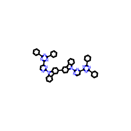 c1ccc(-c2nc(-c3ccccc3)nc(-c3ccnc(-n4c5ccccc5c5cc(-c6ccc7c(c6)c6ccccc6n7-c6nccc(-c7nc(-c8ccccc8)nc(-c8ccccc8)n7)n6)ccc54)n3)n2)cc1